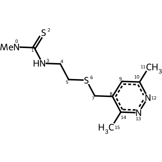 CNC(=S)NCCSCc1cc(C)nnc1C